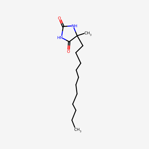 CCCCCCCCCCCC1(C)NC(=O)NC1=O